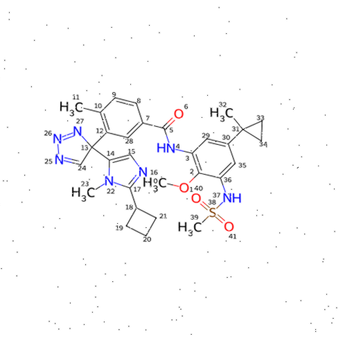 COc1c(NC(=O)c2ccc(C)c(C3(c4cnc(C5CCC5)n4C)C=NN=N3)c2)cc(C2(C)CC2)cc1NS(C)(=O)=O